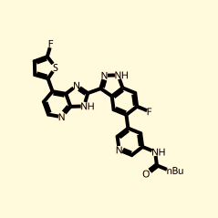 CCCCC(=O)Nc1cncc(-c2cc3c(-c4nc5c(-c6ccc(F)s6)ccnc5[nH]4)n[nH]c3cc2F)c1